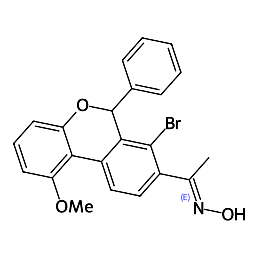 COc1cccc2c1-c1ccc(/C(C)=N/O)c(Br)c1C(c1ccccc1)O2